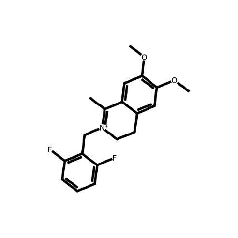 COc1cc2c(cc1OC)C(C)=[N+](Cc1c(F)cccc1F)CC2